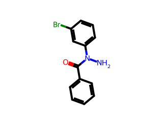 NN(C(=O)c1ccccc1)c1cccc(Br)c1